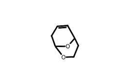 C1=CC2CCOC(C1)O2